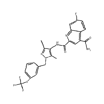 Cc1nn(Cc2cccc(OC(F)(F)F)c2)c(C)c1NC(=O)c1cc(C(N)=O)c2ccc(F)cc2n1